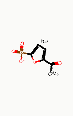 COC(=O)c1ccc(S(=O)(=O)[O-])o1.[Na+]